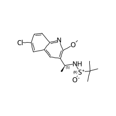 COc1nc2ccc(Cl)cc2cc1[C@H](C)N[S@@+]([O-])C(C)(C)C